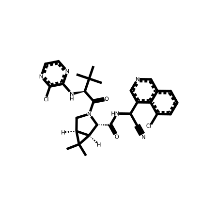 CC(C)(C)[C@H](Nc1nccnc1Cl)C(=O)N1C[C@H]2[C@@H]([C@H]1C(=O)NC(C#N)c1cncc3cccc(Cl)c13)C2(C)C